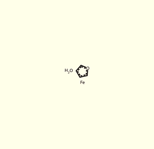 O.[Fe].c1ccoc1